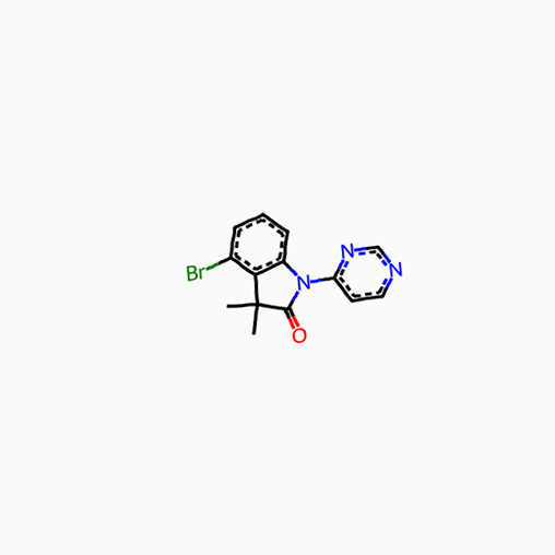 CC1(C)C(=O)N(c2ccncn2)c2cccc(Br)c21